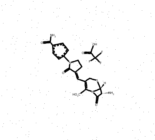 NC(=O)c1ccc(N2CCC(=CC3=C(C(=O)O)N4C(=O)[C@@H](N)[C@H]4SC3)C2=O)cc1.O=C(O)C(F)(F)F